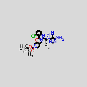 C[C@H](Nc1ncnc(N)c1C#N)c1nc2cccc(Cl)c2c(=O)n1CC1CCN(C(=O)OC(C)(C)C)CC1